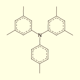 Cc1ccc(N(c2cc(C)cc(C)c2)c2cc(C)cc(C)c2)cc1